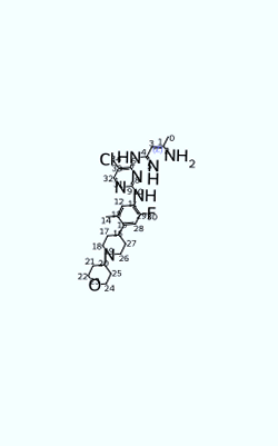 C/C(N)=C/C(=N)Nc1nc(Nc2cc(C)c(C3CCN(C4CCOCC4)CC3)cc2F)ncc1Cl